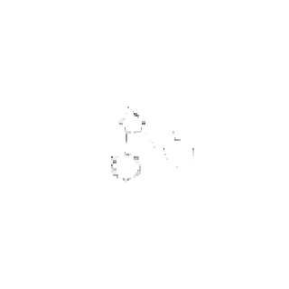 OC1CCOCC1[C@H]1c2cccc(F)c2-c2cncn21